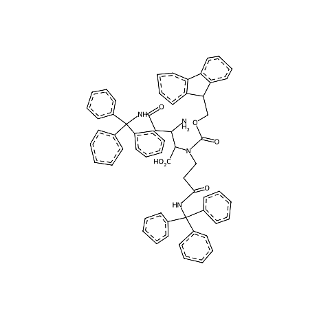 NC(CC(=O)NC(c1ccccc1)(c1ccccc1)c1ccccc1)C(C(=O)O)N(CCC(=O)NC(c1ccccc1)(c1ccccc1)c1ccccc1)C(=O)OCC1c2ccccc2-c2ccccc21